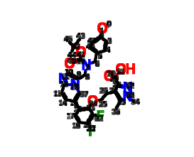 COc1ccc(CN(Cc2cnc3ccc(-c4ccc(F)c(F)c4OCCc4c(C(=O)O)nn(C)c4C)cn23)C(=O)OC(C)(C)C)cc1